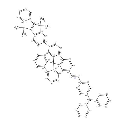 CC1(C)C2=C(c3ccccc31)C(C)(C)c1cc(-c3ccc4c(c3)C3(c5ccccc5-c5ccccc53)c3cc(/C=C/c5ccc(N(c6ccccc6)c6ccccc6)cc5)ccc3-4)ccc12